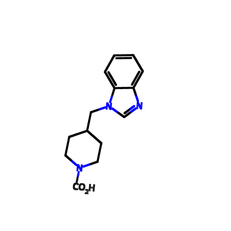 O=C(O)N1CCC(Cn2cnc3ccccc32)CC1